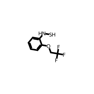 FC(F)(F)COc1ccccc1NS